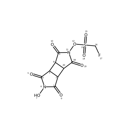 O=C1C2C(C(=O)N1O)C1C(=O)N(OS(=O)(=O)CF)C(=O)C21